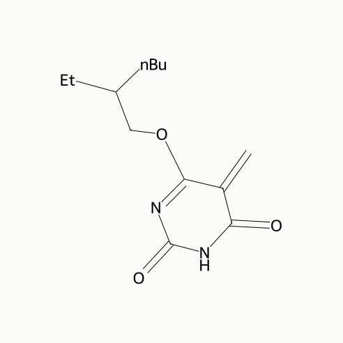 C=C1C(=O)NC(=O)N=C1OCC(CC)CCCC